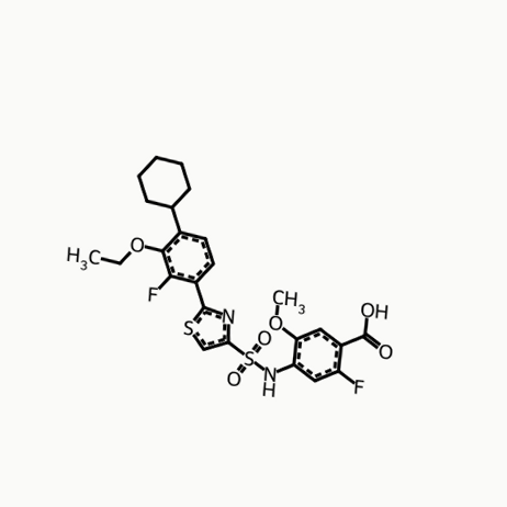 CCOc1c(C2CCCCC2)ccc(-c2nc(S(=O)(=O)Nc3cc(F)c(C(=O)O)cc3OC)cs2)c1F